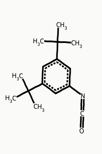 CC(C)(C)c1cc(N=C=O)cc(C(C)(C)C)c1